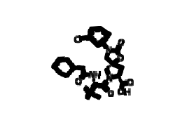 CC(C)(C)[C@H](NC(=O)CC1CCCCC1)C(=O)N1C[C@]2(C[C@H]1C(=O)O)CN(c1cccc(Cl)c1)C(=O)O2